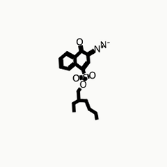 CCCCC(CC)COS(=O)(=O)C1=CC(=[N+]=[N-])C(=O)c2ccccc21